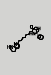 O=C(O)[C@H](CCCCCCCc1ccc2c(n1)NCCC2)NC(=O)[C@H]1CC2CCC1O2